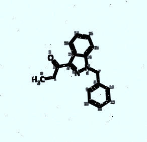 CCC(=O)c1nn(Cc2ccccc2)c2ccccc12